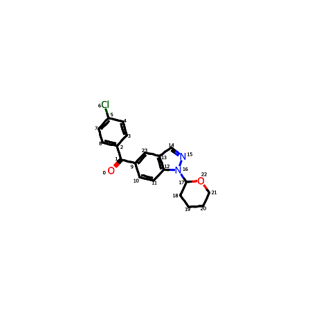 O=C(c1ccc(Cl)cc1)c1ccc2c(cnn2C2CCCCO2)c1